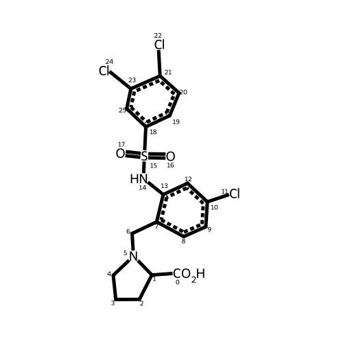 O=C(O)C1CCCN1Cc1ccc(Cl)cc1NS(=O)(=O)c1ccc(Cl)c(Cl)c1